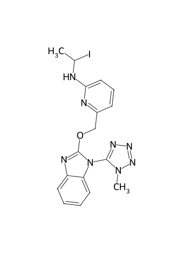 CC(I)Nc1cccc(COc2nc3ccccc3n2-c2nnnn2C)n1